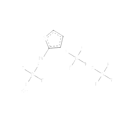 Brc1cccs1.F[B-](F)(F)F.F[B-](F)(F)F.F[B-](F)(F)F.[KH]